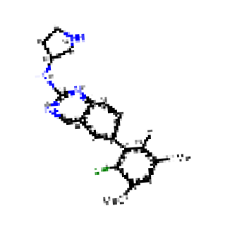 COc1cc(OC)c(Cl)c(-c2ccc3nc(NC4CCNC4)ncc3c2)c1C